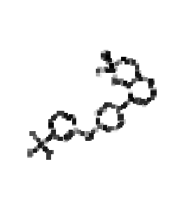 O=S1(=O)C=CN2C=CC=C(c3ccc(Oc4cccc(C(F)(F)F)c4)cc3)C2=N1